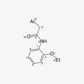 CCOc1ccccc1NC(=O)CC(C)=O